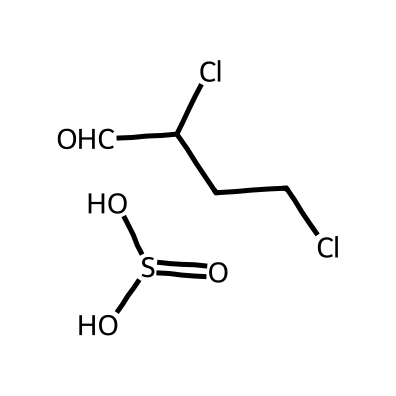 O=CC(Cl)CCCl.O=S(O)O